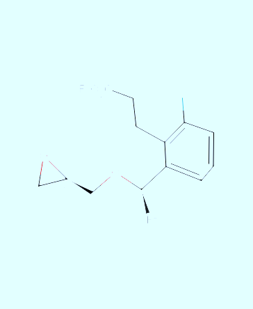 CCOC(=O)CCc1c(F)cccc1[C@@H](CC)OC[C@H]1CO1